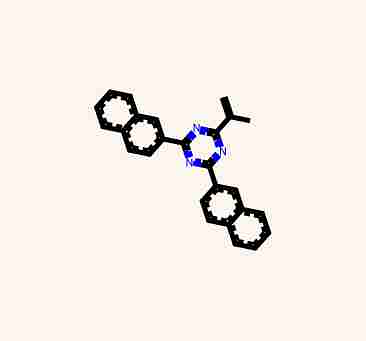 C=C(C)c1nc(-c2ccc3ccccc3c2)nc(-c2ccc3ccccc3c2)n1